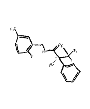 O=C(NCc1cc(C(F)(F)F)ccc1F)[C@](O)(c1ccccc1)C(F)(F)C(F)(F)F